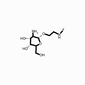 NC1[C@H](OCCNF)OC(CO)[C@H](O)[C@@H]1O